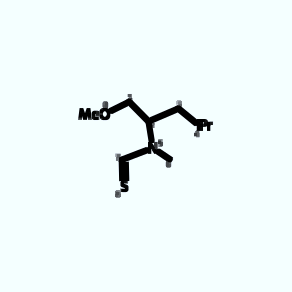 COCC(CC(C)C)N(C)C=S